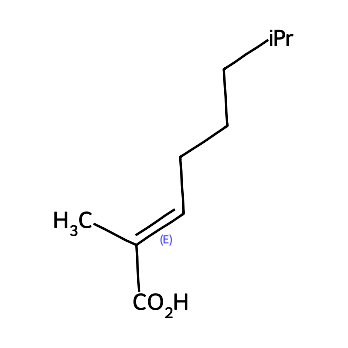 C/C(=C\CCCC(C)C)C(=O)O